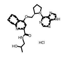 CC(O)CNC(=O)c1cc(OC[C@H]2CCCN2c2ncnc3[nH]cnc23)c2ccccc2n1.Cl